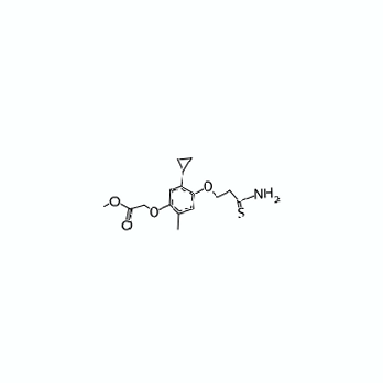 COC(=O)COc1cc(C2CC2)c(OCCC(N)=S)cc1C